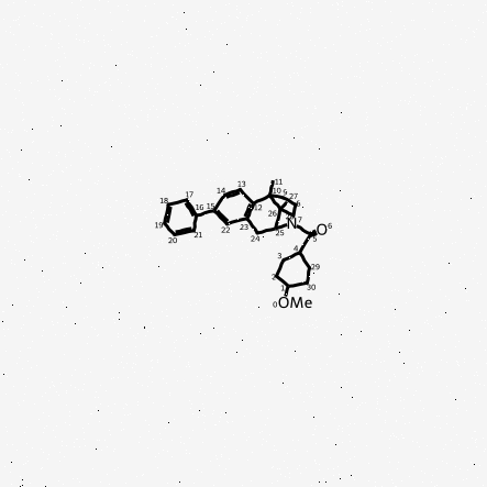 COC1CCC(C(=O)N2CCC3(C)c4ccc(-c5ccccc5)cc4CC2C3(C)C)CC1